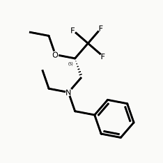 CCO[C@@H](CN(CC)Cc1ccccc1)C(F)(F)F